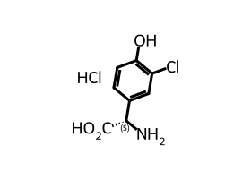 Cl.N[C@H](C(=O)O)c1ccc(O)c(Cl)c1